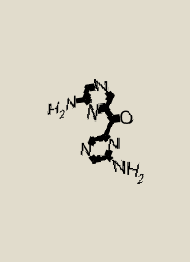 Nc1cncc(C(=O)c2cncc(N)n2)n1